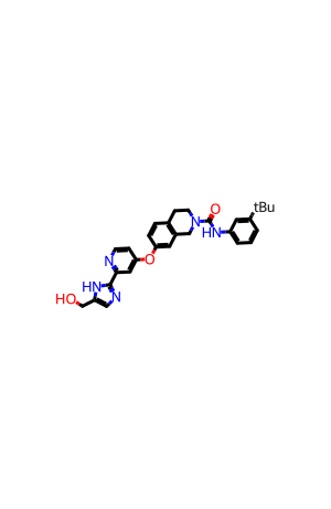 CC(C)(C)c1cccc(NC(=O)N2CCc3ccc(Oc4ccnc(-c5ncc(CO)[nH]5)c4)cc3C2)c1